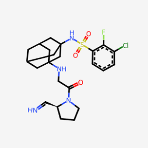 N=C[C@@H]1CCCN1C(=O)CNC12CC3CC(C1)CC(NS(=O)(=O)c1cccc(Cl)c1F)(C3)C2